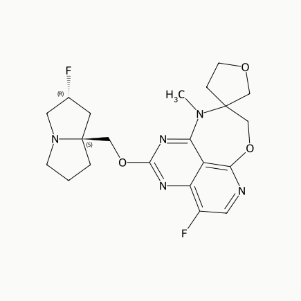 CN1c2nc(OC[C@@]34CCCN3C[C@H](F)C4)nc3c(F)cnc(c23)OCC12CCOC2